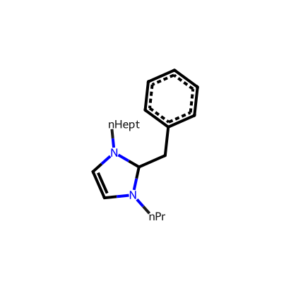 CCCCCCCN1C=CN(CCC)C1Cc1ccccc1